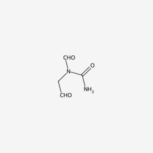 NC(=O)N(C=O)CC=O